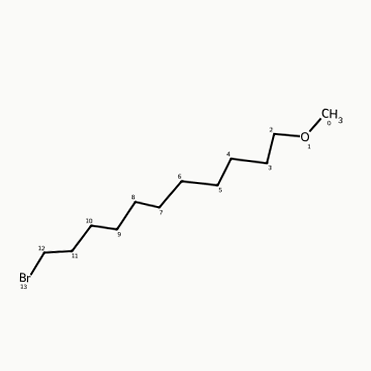 COCCCCCCCCCCCBr